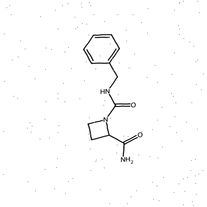 NC(=O)C1[CH]CN1C(=O)NCc1ccccc1